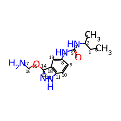 CCC(C)NC(=O)Nc1ccc2[nH]nc(OCN)c2c1